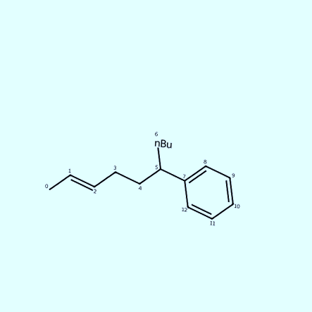 CC=CCCC(CCCC)c1ccccc1